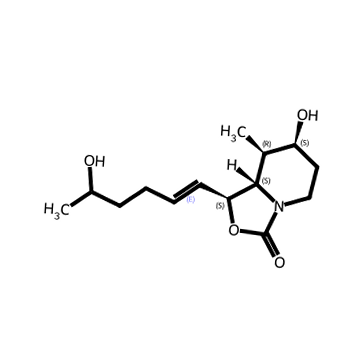 CC(O)CC/C=C/[C@@H]1OC(=O)N2CC[C@H](O)[C@H](C)[C@@H]12